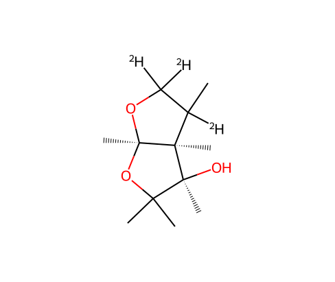 [2H]C1([2H])O[C@]2(C)OC(C)(C)[C@](C)(O)[C@]2(C)C1([2H])C